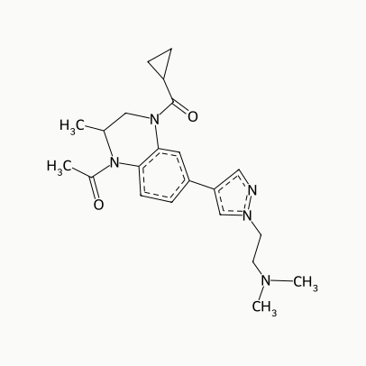 CC(=O)N1c2ccc(-c3cnn(CCN(C)C)c3)cc2N(C(=O)C2CC2)CC1C